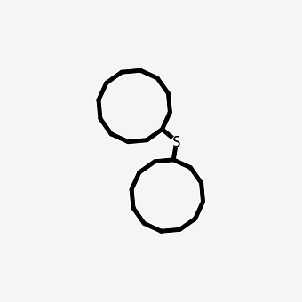 C1CCCCCC(SC2CCCCCCCCCCC2)CCCCC1